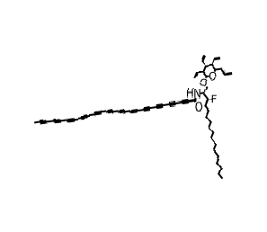 C=CCC1O[C@H](OC[C@H](NC(=O)C#CC#CC#CC#CC#CC#CC#CC#CC#CC#CC#CC#CC)[C@H](F)CCCCCCCCCCCCCC)C(C=C)[C@@H](C=C)[C@H]1C=C